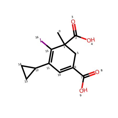 CC1(C(=O)O)CC(C(=O)O)=CC(C2CC2)=C1I